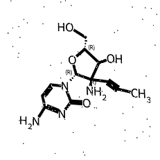 CC#C[C@@]1(N)C(O)[C@@H](CO)O[C@H]1n1ccc(N)nc1=O